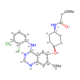 COCC(=O)N[C@H]1CC[C@@H](Oc2cc3c(Nc4cccc(Cl)c4F)ncnc3cc2OC)CC1